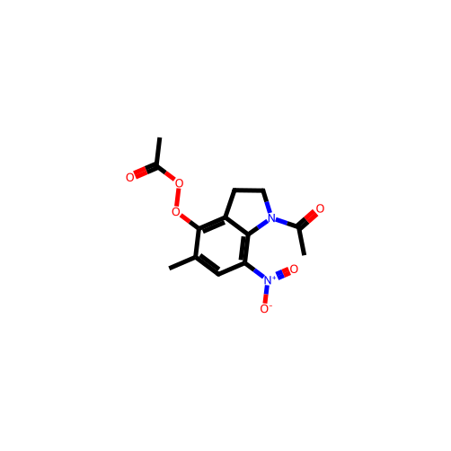 CC(=O)OOc1c(C)cc([N+](=O)[O-])c2c1CCN2C(C)=O